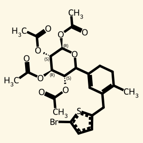 CC(=O)O[C@H]1OC(C2=CC(Cc3ccc(Br)s3)=C(C)CC2)[C@H](OC(C)=O)[C@@H](OC(C)=O)[C@@H]1OC(C)=O